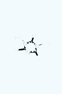 O=c1[nH]c(=O)n(O)c(=O)n1O